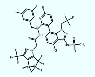 CS(=O)(=O)Nc1nn(CC(F)(F)F)c2c(-c3ccc(Br)nc3[C@H](Cc3cc(F)cc(F)c3)NC(=O)Cn3nc(C(F)(F)F)c4c3C(F)(F)[C@@H]3C[C@H]43)ccc(Cl)c12